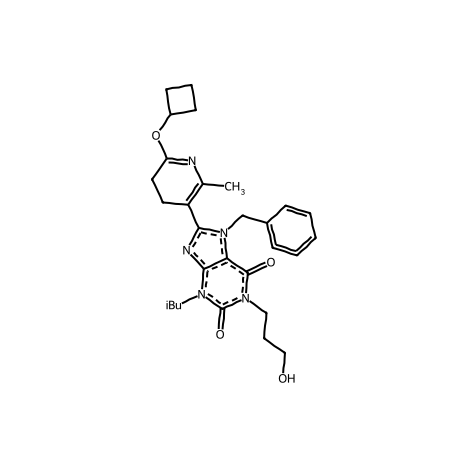 CCC(C)n1c(=O)n(CCCO)c(=O)c2c1nc(C1=C(C)N=C(OC3CCC3)CC1)n2CC1=C=C=CC=C1